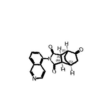 O=C1C[C@@H]2CC[C@H]1[C@@H]1C(=O)N(c3cccc4cnccc34)C(=O)[C@H]21